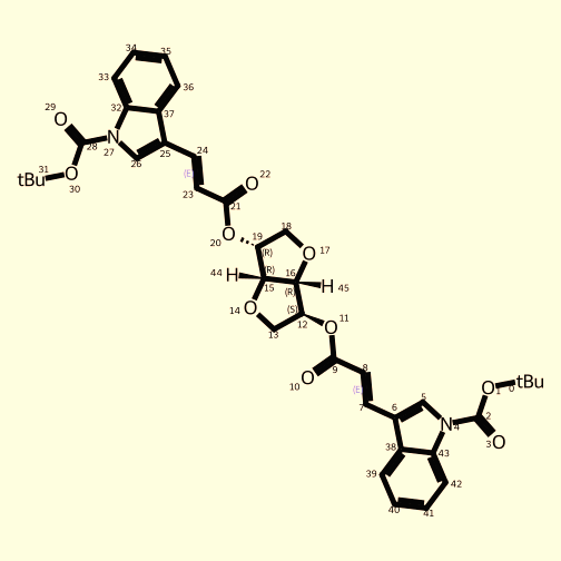 CC(C)(C)OC(=O)n1cc(/C=C/C(=O)O[C@H]2CO[C@H]3[C@@H]2OC[C@H]3OC(=O)/C=C/c2cn(C(=O)OC(C)(C)C)c3ccccc23)c2ccccc21